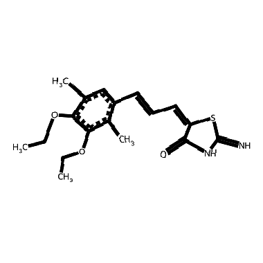 CCOc1c(C)cc(C=CC=C2SC(=N)NC2=O)c(C)c1OCC